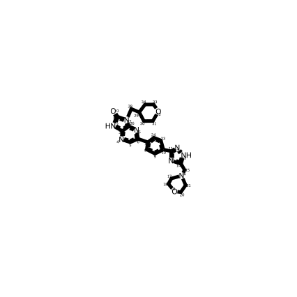 O=c1[nH]c2ncc(-c3ccc(-c4n[nH]c(CN5CCOCC5)n4)cc3)nc2n1CC1CCOCC1